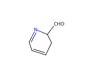 O=[C]C1CC=CC=N1